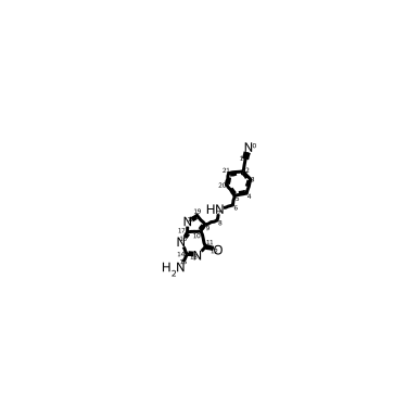 N#Cc1ccc(CNCC2=C3C(=O)N=C(N)N=C3N=C2)cc1